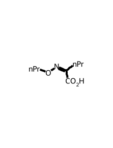 CCCO/N=C(/CCC)C(=O)O